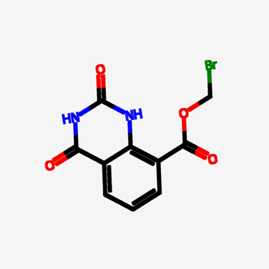 O=C(OCBr)c1cccc2c(=O)[nH]c(=O)[nH]c12